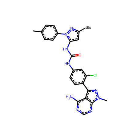 Cc1ccc(-n2nc(C(C)(C)C)cc2NC(=O)Nc2ccc(-c3nn(C)c4ncnc(N)c34)c(Cl)c2)cc1